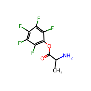 CC(N)C(=O)Oc1c(F)c(F)c(F)c(F)c1F